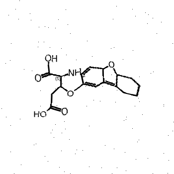 N[C@H](C(=O)O)C(CC(=O)O)OC1=CC2=C3CCCCC3OC2C=C1